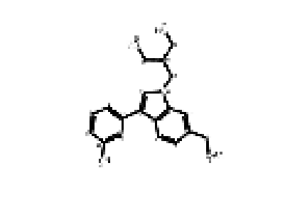 CC(=O)OCc1ccc2c(-c3cccc(C#N)c3)cn(CC(CO)CO)c2c1